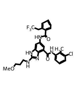 COCCCNc1nc2c(C(=O)Nc3cccc(Cl)c3C)cc(NC(=O)c3ccccc3CC(F)(F)F)cc2[nH]1